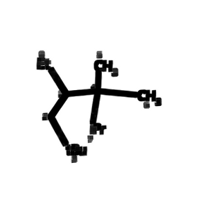 CCC(CC(C)(C)C)C(C)(C)C(C)C